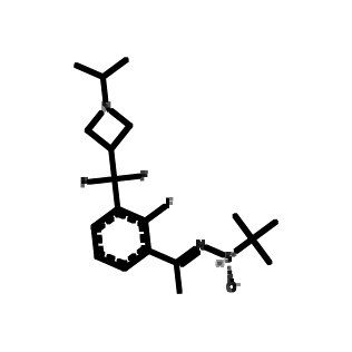 CC(=N[S@@+]([O-])C(C)(C)C)c1cccc(C(F)(F)C2CN(C(C)C)C2)c1F